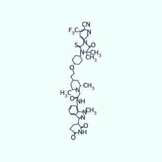 C[C@@H]1CC(CCO[C@H]2CC[C@H](N3C(=S)N(c4cnc(C#N)c(C(F)(F)F)c4)C(=O)C3(C)C)CC2)C[C@H](C)N1CC(=O)Nc1cccc2c(C3CCC(=O)NC3=O)nn(C)c12